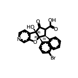 O=C(O)C1C(=O)[C@@]2(O)c3ccncc3O[C@@]2(c2ccc(Br)cc2)[C@@H]1c1ccccc1